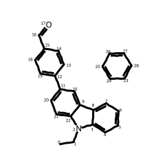 CCn1c2ccccc2c2cc(-c3ccc(C=O)cc3)ccc21.c1ccccc1